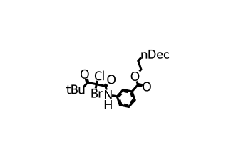 CCCCCCCCCCCCOC(=O)c1cccc(NC(=O)C(Cl)(Br)C(=O)C(C)(C)C)c1